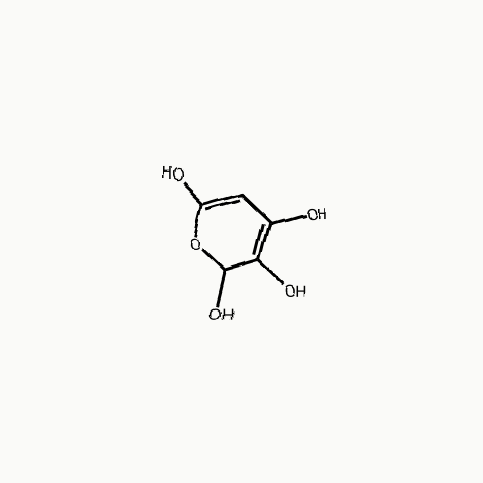 OC1=CC(O)=C(O)C(O)O1